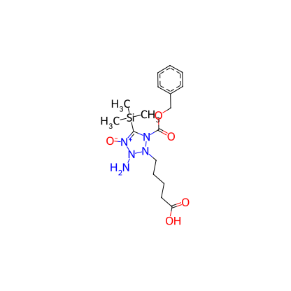 C[Si](C)(C)C1=[N+]([O-])N(N)N(CCCCC(=O)O)N1C(=O)OCc1ccccc1